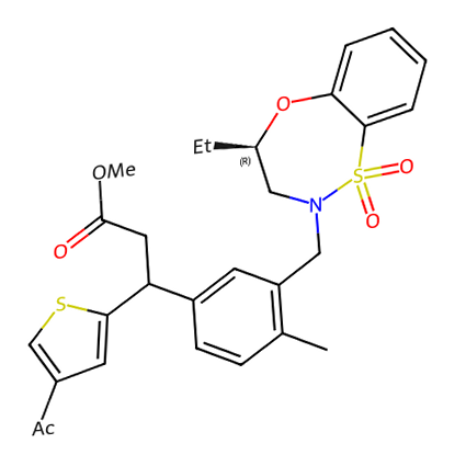 CC[C@@H]1CN(Cc2cc(C(CC(=O)OC)c3cc(C(C)=O)cs3)ccc2C)S(=O)(=O)c2ccccc2O1